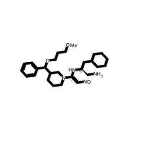 COCCCOC(c1ccccc1)C1CCCN(/C(=C/N=O)N[C@H](CN)CC2CCCCC2)C1